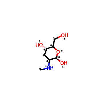 CNC1C[C@H](O)C(CO)O[C@H]1O